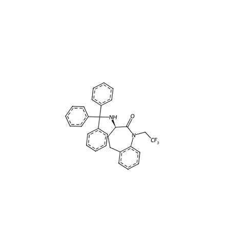 O=C1[C@H](NC(c2ccccc2)(c2ccccc2)c2ccccc2)CCc2ccccc2N1CC(F)(F)F